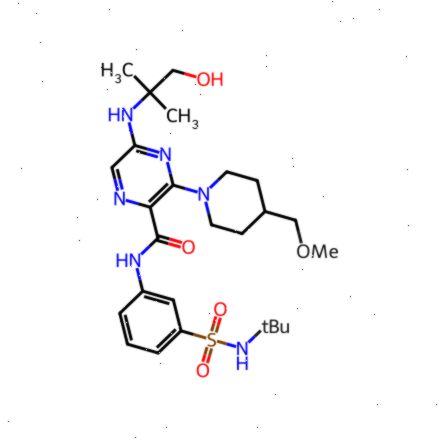 COCC1CCN(c2nc(NC(C)(C)CO)cnc2C(=O)Nc2cccc(S(=O)(=O)NC(C)(C)C)c2)CC1